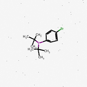 CC(C)(C)P(c1ccc(Br)cc1)C(C)(C)C